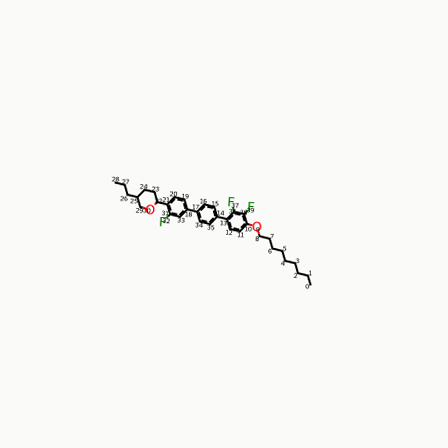 CCCCCCCCCOc1ccc(-c2ccc(-c3ccc(C4CCC(CCC)CO4)c(F)c3)cc2)c(F)c1F